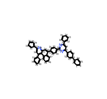 c1ccc(-c2ccc(-c3cc(-c4ccccc4)nc(-c4ccc(-c5cc6nc(-c7ccccc7)cc(-c7ccccc7)c6c6ccccc56)cc4)n3)cc2)cc1